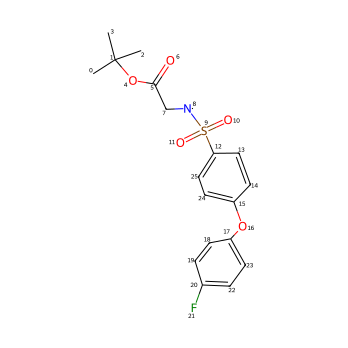 CC(C)(C)OC(=O)C[N]S(=O)(=O)c1ccc(Oc2ccc(F)cc2)cc1